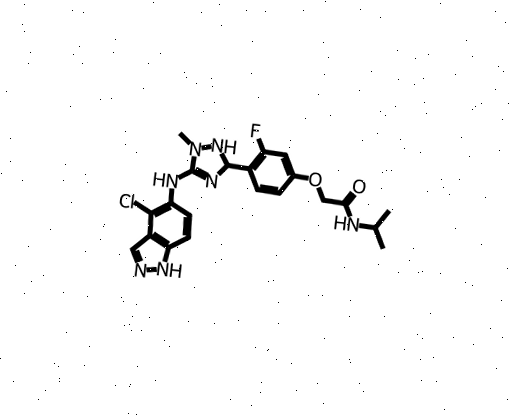 CC(C)NC(=O)COc1ccc(C2N=C(Nc3ccc4[nH]ncc4c3Cl)N(C)N2)c(F)c1